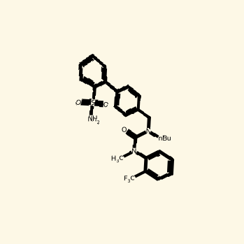 CCCCN(Cc1ccc(-c2ccccc2S(N)(=O)=O)cc1)C(=O)N(C)c1ccccc1C(F)(F)F